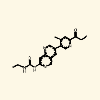 CCNC(=O)Nc1cc2ncc(-c3cnc(C(=O)CC)cc3C)cc2cn1